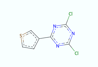 Clc1nc(Cl)nc(-c2ccsc2)n1